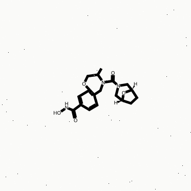 CC1COc2cc(C(=O)NO)ccc2CN1C(=O)N1C[C@H]2CC[C@H](C1)O2